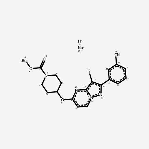 CC(C)(C)OC(=O)N1CCC(Oc2ccn3nc(-c4cccc(C#N)c4)c(I)c3n2)CC1.[H-].[Na+]